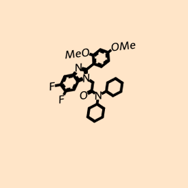 COc1ccc(-c2nc3cc(F)c(F)cc3n2CC(=O)N(C2CCCCC2)C2CCCCC2)c(OC)c1